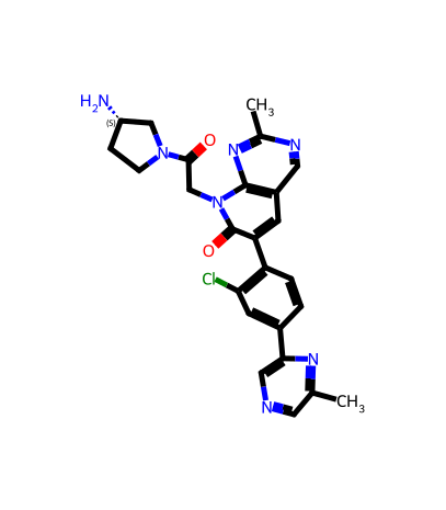 Cc1cncc(-c2ccc(-c3cc4cnc(C)nc4n(CC(=O)N4CC[C@H](N)C4)c3=O)c(Cl)c2)n1